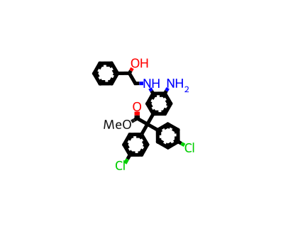 COC(=O)C(c1ccc(Cl)cc1)(c1ccc(Cl)cc1)c1ccc(N)c(NCC(O)c2ccccc2)c1